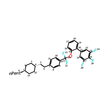 CCCCC[C@H]1CC[C@H](CCc2ccc(C(F)(F)Oc3ccccc3-c3cc(F)c(F)c(F)c3)cc2)CC1